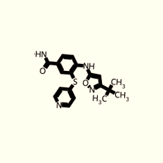 CC(C)(C)c1cc(Nc2ccc(C([NH])=O)cc2Sc2ccncc2)on1